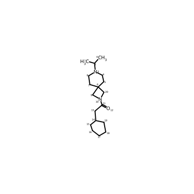 CC(C)N1CCC2(CC1)CN(C(=O)CC1CCCCC1)C2